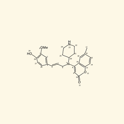 COc1cc(C=CCN(c2cc(=O)oc3ccc(C)cc23)C2CCNCC2)ccc1O